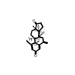 C=C1C[C@@H]2[C@H](CC[C@]3(C)C(=O)CC[C@@H]23)[C@@]2(C)C(C)=CC(=O)C=C12